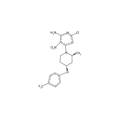 C[C@H]1C[C@@H](Oc2ccc(C(F)(F)F)cc2)CCN1c1cc(Cl)nc(N)c1[N+](=O)[O-]